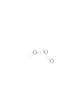 CN1CCN(c2cccc(NC(=O)Oc3c(N(C)CC(O)c4ccccc4)cc[nH]c3=O)c2)CC1